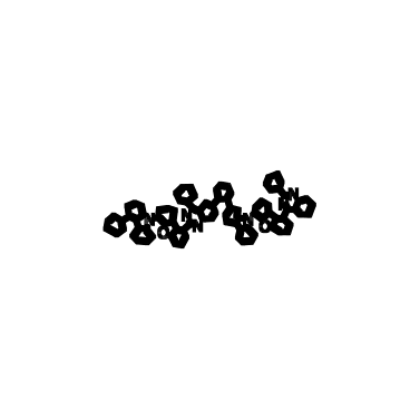 c1ccc(-c2nc(-c3cccc4oc5c(-n6c7ccccc7c7ccc(-c8ccccc8-c8ccc9nc(-c%10cccc%11oc%12c(-n%13c%14ccccc%14c%14c(-c%15ccccc%15)cccc%14%13)cccc%12c%10%11)nc(-c%10ccccc%10)c9c8)cc76)cccc5c34)c3ccccc3n2)cc1